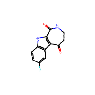 O=C1NCCC(=O)c2c1[nH]c1ccc(F)cc21